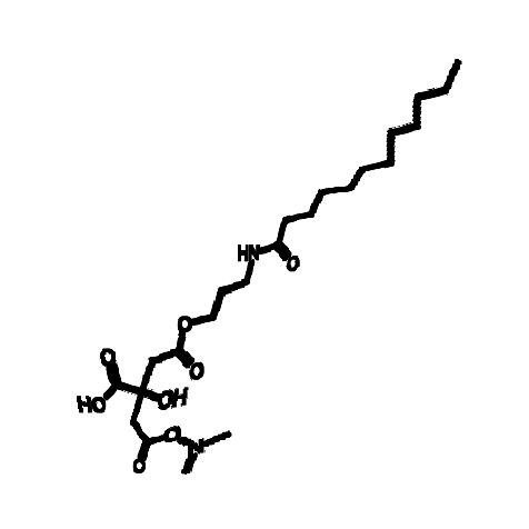 CCCCCCCCCCCC(=O)NCCCOC(=O)CC(O)(CC(=O)ON(C)C)C(=O)O